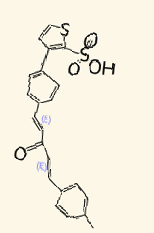 Cc1ccc(/C=C/C(=O)/C=C/c2ccc(-c3ccsc3S(=O)(=O)O)cc2)cc1